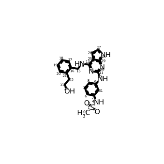 CS(=O)(=O)Nc1cccc(Nc2nc(NCc3ccccc3CCO)c3cc[nH]c3n2)c1